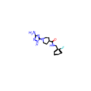 Nc1n[nH]c(N2CCC(C(=O)NCc3ccccc3F)CC2)n1